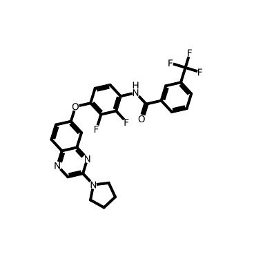 O=C(Nc1ccc(Oc2ccc3ncc(N4CCCC4)nc3c2)c(F)c1F)c1cccc(C(F)(F)F)c1